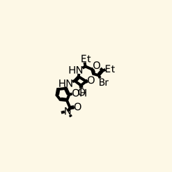 CCc1oc(C(CC)Nc2c(Nc3cccc(C(=O)N(C)C)c3O)c(=O)c2=O)cc1Br